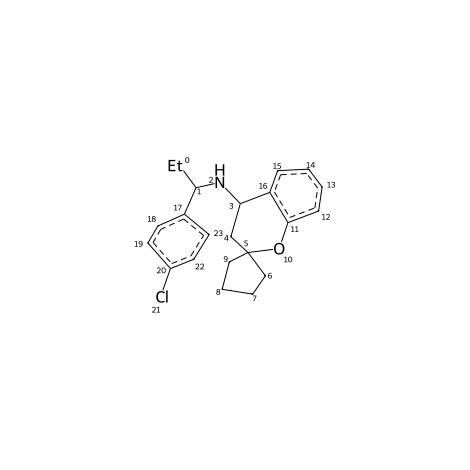 CCC(NC1CC2(CCCC2)Oc2ccccc21)c1ccc(Cl)cc1